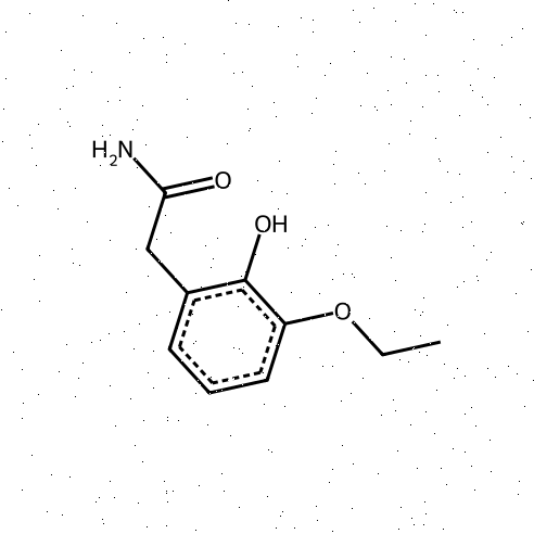 CCOc1cccc(CC(N)=O)c1O